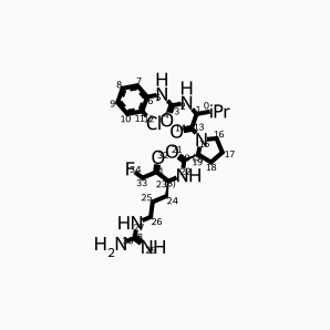 CC(C)C(NC(=O)Nc1ccccc1Cl)C(=O)N1CCC[C@H]1C(=O)N[C@@H](CCCNC(=N)N)C(=O)CF